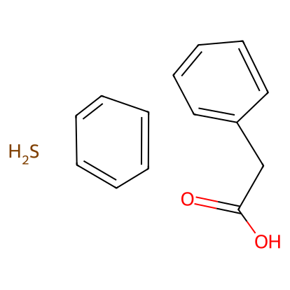 O=C(O)Cc1ccccc1.S.c1ccccc1